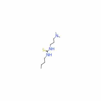 CCCCNC(=S)NCCCN(C)C